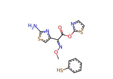 CON=C(C(=O)Oc1nccs1)c1csc(N)n1.Sc1ccccc1